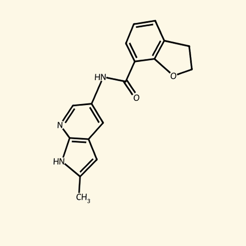 Cc1cc2cc(NC(=O)c3cccc4c3OCC4)cnc2[nH]1